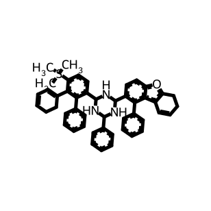 CS(C)(C)c1ccc(C2NC(c3ccccc3)NC(c3ccc4oc5c(c4c3-c3ccccc3)C=CCC5)N2)c(-c2ccccc2)c1C1=CC=CCC1